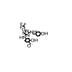 O=[C]c1ccc(Nc2nc(NCc3ccc(O)cc3)nc(OCC(F)(F)F)n2)cc1O